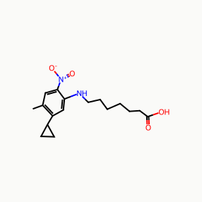 Cc1cc([N+](=O)[O-])c(NCCCCCCC(=O)O)cc1C1CC1